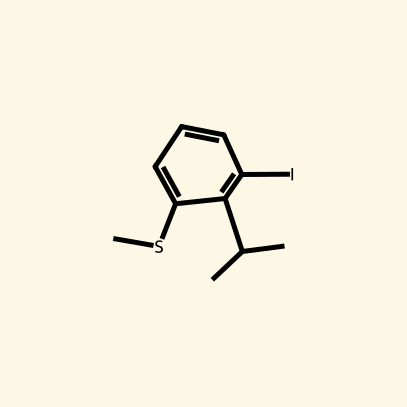 CSc1cccc(I)c1C(C)C